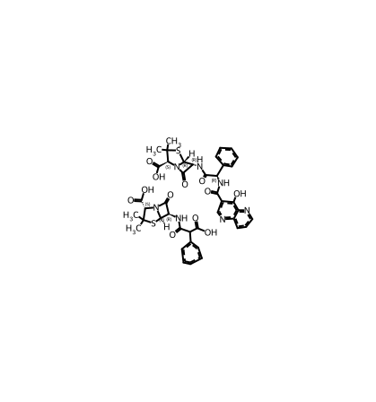 CC1(C)S[C@@H]2[C@H](NC(=O)C(C(=O)O)c3ccccc3)C(=O)N2[C@H]1C(=O)O.CC1(C)S[C@@H]2[C@H](NC(=O)[C@H](NC(=O)c3cnc4cccnc4c3O)c3ccccc3)C(=O)N2[C@H]1C(=O)O